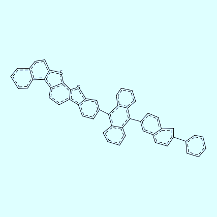 c1ccc(-c2ccc3cc(-c4c5ccccc5c(-c5ccc6c(c5)sc5c6ccc6c5sc5ccc7ccccc7c56)c5ccccc45)ccc3c2)cc1